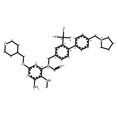 CNc1c(N)nc(OCC2CCOCC2)nc1N(C=O)Cc1ccc(-c2ccc(CN3CCCC3)cc2)c(C(F)(F)F)c1